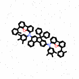 Cc1ccccc1-c1cccc2c1oc1c(N(c3cc(C)c(C)c(C)c3)c3ccc4c(c3)C(c3ccccc3)(c3ccccc3)c3cc(N(c5cc(C)c(C)c(C)c5)c5cccc6c5oc5c(-c7ccccc7C)cccc56)c5ccccc5c3-4)cccc12